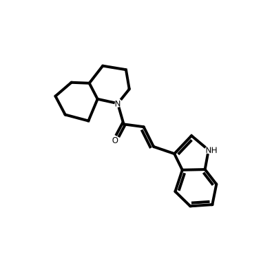 O=C(C=Cc1c[nH]c2ccccc12)N1CCCC2CCCCC21